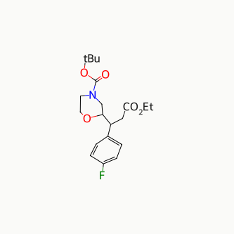 CCOC(=O)CC(c1ccc(F)cc1)C1CN(C(=O)OC(C)(C)C)CCO1